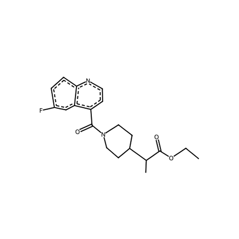 CCOC(=O)C(C)C1CCN(C(=O)c2ccnc3ccc(F)cc23)CC1